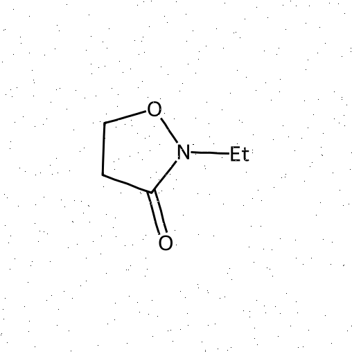 [CH2]CN1OCCC1=O